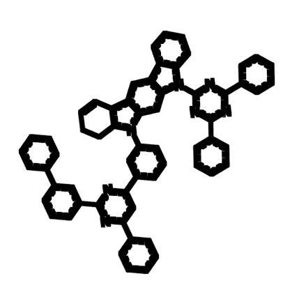 C1=Cc2c(n(-c3cccc(-c4cc(-c5ccccc5)nc(-c5cccc(-c6ccccc6)c5)n4)c3)c3cc4c(cc23)c2ccccc2n4-c2nc(-c3ccccc3)nc(-c3ccccc3)n2)CC1